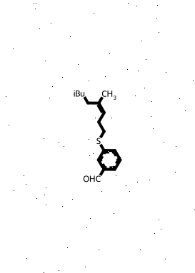 CCC(C)CC(C)=CCCSc1cccc(C=O)c1